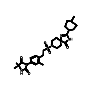 Cc1cc(N2C(=O)NC(C)(C)C2=O)ccc1CCS(=O)(=O)N1CCC2(CC1)N=C(C1CCC(C)CC1)NC2=O